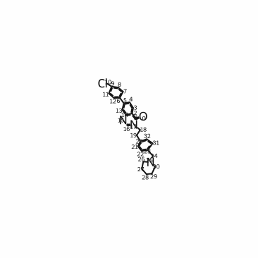 O=c1c2ccc(-c3ccc(Cl)cc3)cc2ncn1CCc1ccc(CN2CCCCC2)cc1